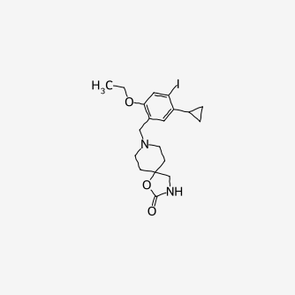 CCOc1cc(I)c(C2CC2)cc1CN1CCC2(CC1)CNC(=O)O2